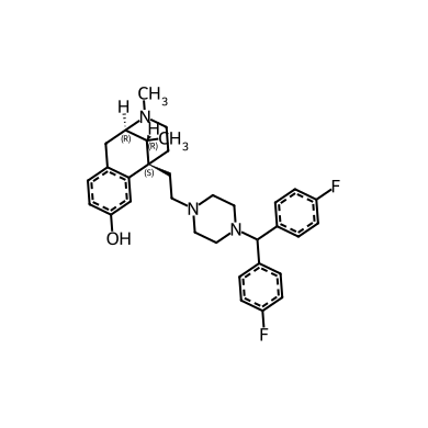 C[C@H]1[C@H]2Cc3ccc(O)cc3[C@@]1(CCN1CCN(C(c3ccc(F)cc3)c3ccc(F)cc3)CC1)CCN2C